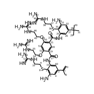 C=C(C)c1cc(N)c(SCCNC(=N)N)c(NC(=O)c2cc(C(=O)Nc3cc(C(C)(C)C)cc(N)c3SCCNC(=N)N)c(OCCNC(=N)N)cc2OCCNC(=N)N)c1